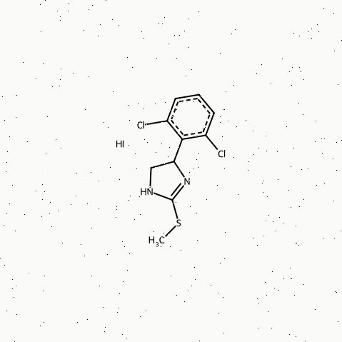 CSC1=NC(c2c(Cl)cccc2Cl)CN1.I